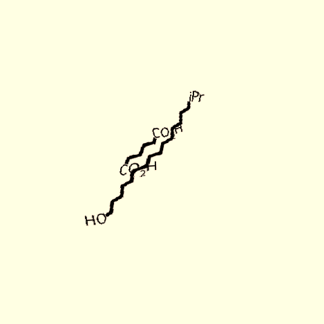 CC(C)CCCCCCCCCCCCCCCO.O=C(O)CCCCC(=O)O